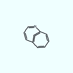 C1=C2C=CC=CC=1N=CC=C2